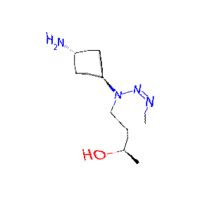 C/N=N\N(CC[C@@H](C)O)[C@H]1C[C@H](N)C1